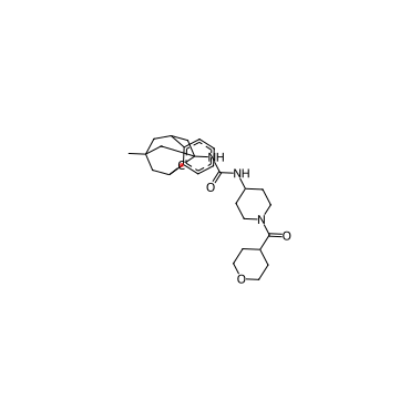 CC12CC3CC(NC(=O)NC4CCN(C(=O)C5CCOCC5)CC4)(CC(C1)c1ccccc13)C2